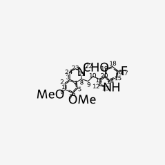 COc1cc2c(cc1OC)C(CCc1c[nH]c3cc(F)ccc13)N(C=O)CC2